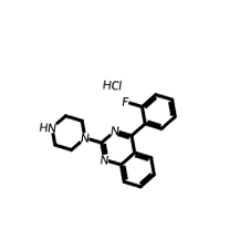 Cl.Fc1ccccc1-c1nc(N2CCNCC2)nc2ccccc12